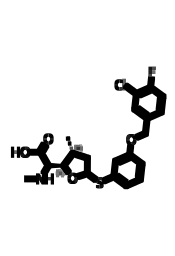 CNC(C(=O)O)[C@@H]1OC(Sc2cccc(OCc3ccc(F)c(Cl)c3)c2)C[C@H]1C